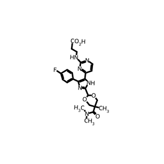 CN(C)C(=O)C1(C)COC(c2nc(-c3ccc(F)cc3)c(-c3ccnc(NCCC(=O)O)n3)[nH]2)OC1